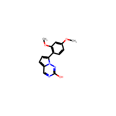 COc1ccc(-c2ccc3cnc(O)nn23)c(OC)c1